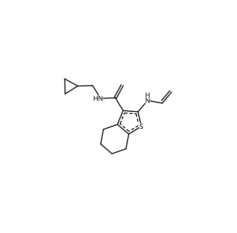 C=CNc1sc2c(c1C(=C)NCC1CC1)CCCC2